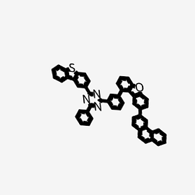 c1ccc(-c2nc(-c3cccc(-c4cccc5oc6ccc(-c7ccc8ccc9ccccc9c8c7)cc6c45)c3)nc(-c3ccc4sc5ccccc5c4c3)n2)cc1